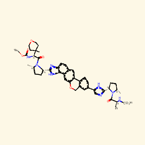 CC(C)[C@H](NC(=O)O)C(=O)N1[C@@H](C)CC[C@H]1c1ncc(-c2ccc3c(c2)COc2cc4c(ccc5nc([C@@H]6CC[C@H](C)N6C(=O)[C@@H](NC(=O)OC(C)(C)C)C6(C)CCOCC6)[nH]c54)cc2-3)[nH]1